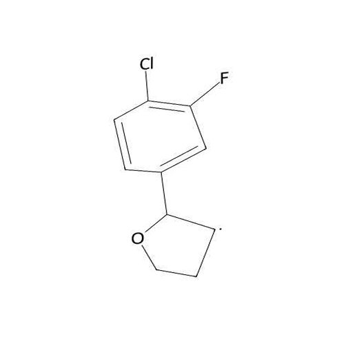 Fc1cc(C2[CH]CCO2)ccc1Cl